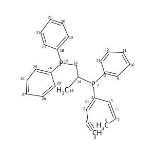 C#C/C=C(\C=C/C)P(c1ccccc1)C(C)CP(c1ccccc1)c1ccccc1